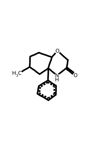 CC1CCC2OCC(=O)NC2(c2ccccc2)C1